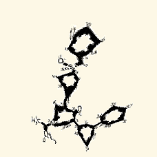 C=C(C)n1cc(-c2ccc([S+]([O-])Cc3ccccc3)cc2)c(=O)c(-c2cccc(-c3ccccc3)c2)c1